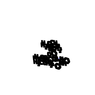 CC(C)(C)[Si](C)(C)Oc1ccc2c3c1OC1C(O[Si](C)(C)C(C)(C)C)C=CC4C(C2)N(/C(=N/c2ccccc2)Nc2ccccc2)CCC341